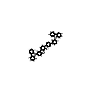 c1cc(-c2ccc3c(c2)oc2c3ccc3c4cc(-n5c6ccccc6c6ccccc65)ccc4oc32)cc(-n2c3ccccc3c3ccccc32)c1